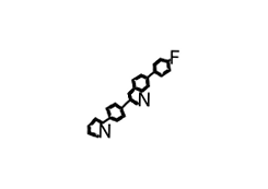 Fc1ccc(-c2ccc3cc(-c4ccc(-c5ccccn5)cc4)cnc3c2)cc1